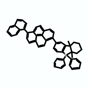 CC12CCCCC1(C)[Si](c1ccccc1)(c1ccccc1)c1ccc(-c3ccc4ccc5c(-c6cccc7ccccc67)ccc6ccc3c4c65)cc12